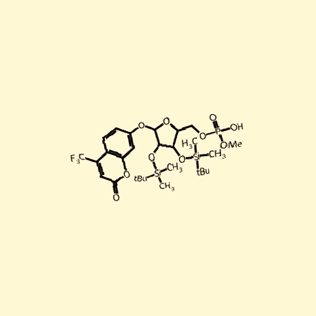 COP(=O)(O)OCC1OC(Oc2ccc3c(C(F)(F)F)cc(=O)oc3c2)C(O[Si](C)(C)C(C)(C)C)C1O[Si](C)(C)C(C)(C)C